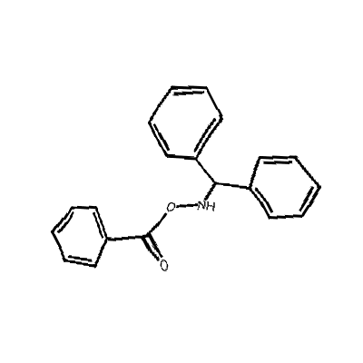 O=C(ONC(c1ccccc1)c1ccccc1)c1ccccc1